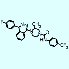 C[C@H]1CN(C(=O)Nc2ccc(C(F)(F)F)cc2)CCN1c1nnc(-c2ccc(F)cc2)c2ccccc12